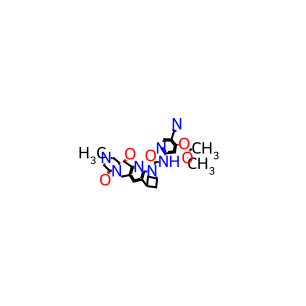 COC(C)Oc1cc(NC(=O)N2c3nc(C=O)c(CN4CCN(C)CC4=O)cc3C3CC2C3)ncc1C#N